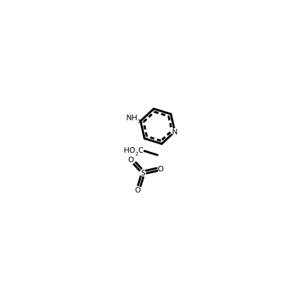 CC(=O)O.N.O=S(=O)=O.c1ccncc1